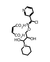 O=C(O)/C=C\C(=O)O.OC(CON=C(Cl)c1cccnc1)C(O)N1CCCCC1